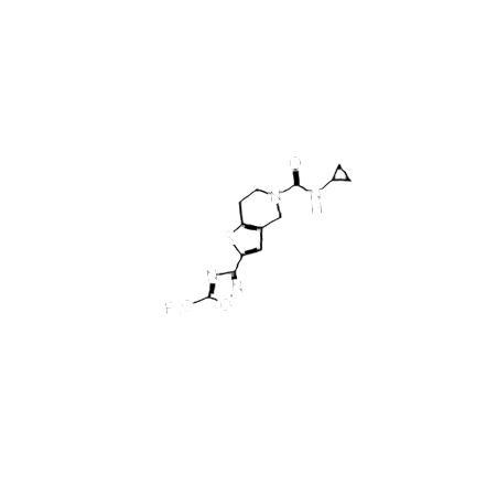 O=C(NC1CC1)N1CCc2sc(-c3noc(C(F)(F)F)n3)cc2C1